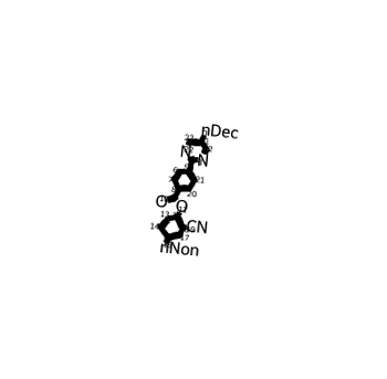 CCCCCCCCCCc1cnc(-c2ccc(C(=O)Oc3ccc(CCCCCCCCC)cc3C#N)cc2)nc1